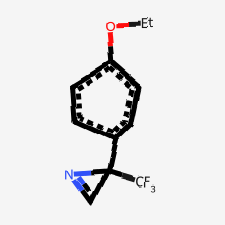 CCOc1ccc(C2(C(F)(F)F)C=N2)cc1